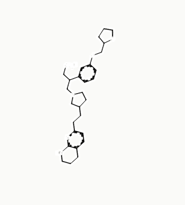 O=C(O)CC(CN1CCC(CCc2ccc3c(n2)NCCC3)C1)c1cccc(OCC2CCCO2)c1